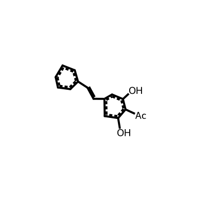 CC(=O)c1c(O)cc(/C=C/c2ccccc2)cc1O